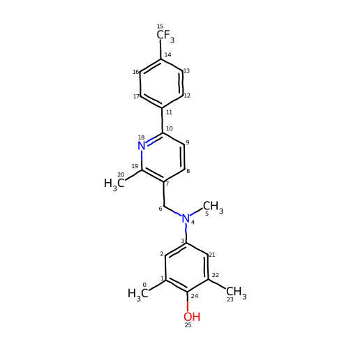 Cc1cc(N(C)Cc2ccc(-c3ccc(C(F)(F)F)cc3)nc2C)cc(C)c1O